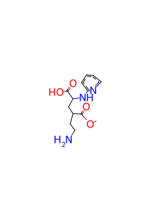 COC(=O)C(CCN)CC(Nc1ccccn1)C(=O)O